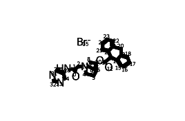 O=C(C[N+]12CCC(CC1)C(OC(=O)C1c3ccccc3Cc3ccccc31)C2)Nc1cncnc1.[Br-]